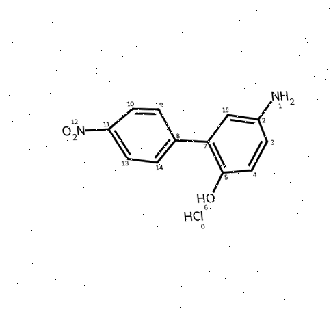 Cl.Nc1ccc(O)c(-c2ccc([N+](=O)[O-])cc2)c1